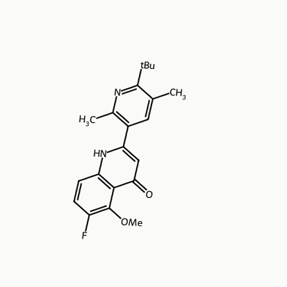 COc1c(F)ccc2[nH]c(-c3cc(C)c(C(C)(C)C)nc3C)cc(=O)c12